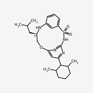 CC(C)C[C@@H]1COc2cc(C3C(C)CCCC3C)nc(n2)NS(=O)(=O)c2cccc(c2)N1